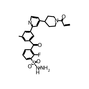 C=CC(=O)N1CCC(c2ccnc(-c3cc(C)cc(C(=O)c4cccc(S(=O)(=O)NN)c4F)c3)c2)CC1